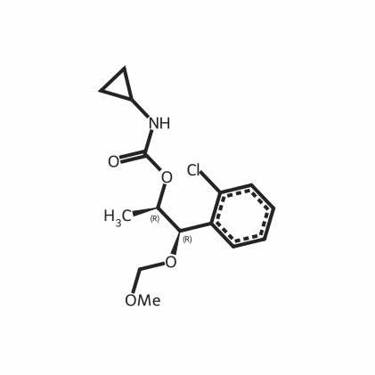 COCO[C@H](c1ccccc1Cl)[C@@H](C)OC(=O)NC1CC1